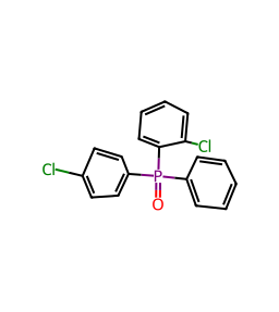 O=P(c1ccccc1)(c1ccc(Cl)cc1)c1ccccc1Cl